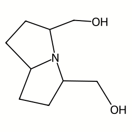 OCC1CCC2CCC(CO)N12